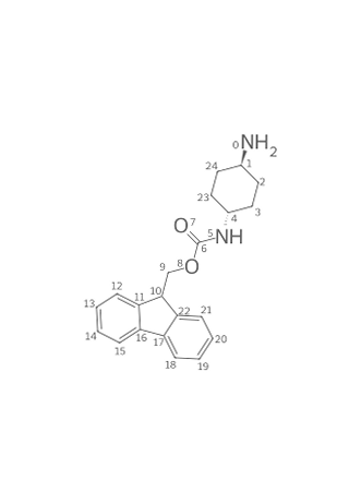 N[C@H]1CC[C@H](NC(=O)OCC2c3ccccc3-c3ccccc32)CC1